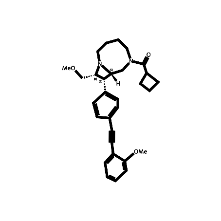 COC[C@H]1[C@@H](c2ccc(C#Cc3ccccc3OC)cc2)[C@H]2CN(C(=O)C3CCC3)CCCCN21